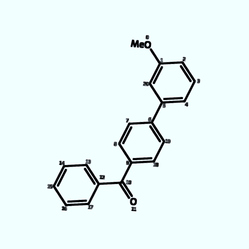 COc1cccc(-c2ccc(C(=O)c3ccccc3)cc2)c1